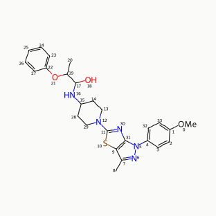 COc1ccc(-n2nc(C)c3sc(N4CCC(NC(O)C(C)Oc5ccccc5)CC4)nc32)cc1